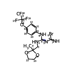 CC1(CN/C(=N/C(=N)Br)Nc2ccc(OC(F)(F)C(F)(F)F)cc2)OCCO1